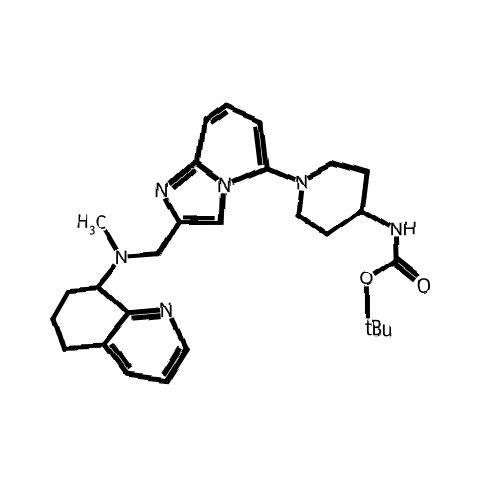 CN(Cc1cn2c(N3CCC(NC(=O)OC(C)(C)C)CC3)cccc2n1)C1CCCc2cccnc21